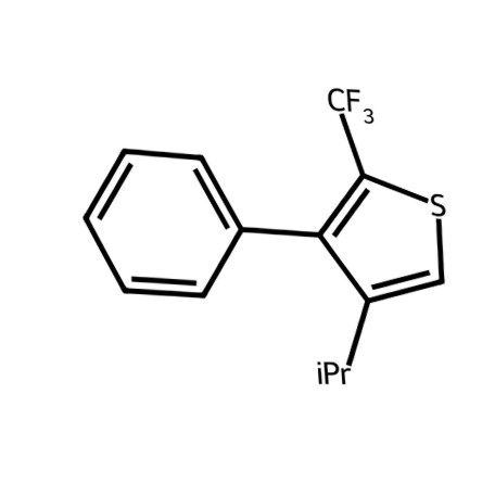 CC(C)c1csc(C(F)(F)F)c1-c1ccccc1